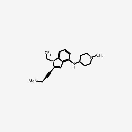 CNCC#Cc1cc2c(NC3CCN(C)CC3)cccc2n1CC(F)(F)F